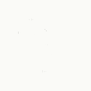 CC(C)[C@H]1COC(=C2C=CC=C2)[N-]1.[Fe+2].c1cc[cH-]c1